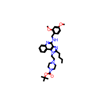 CCCCc1nc2c(NCc3ccc(OC)cc3OC)nc3ccccc3c2n1CCN1CCN(C(=O)OC(C)(C)C)CC1